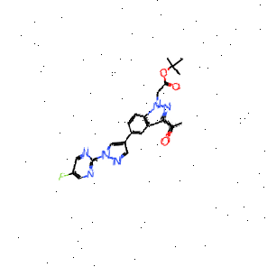 CC(=O)c1nn(CC(=O)OC(C)(C)C)c2ccc(-c3cnn(-c4ncc(F)cn4)c3)cc12